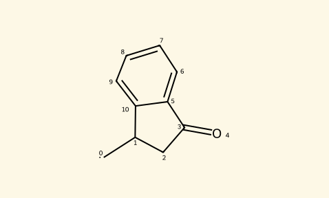 [CH2]C1CC(=O)c2ccccc21